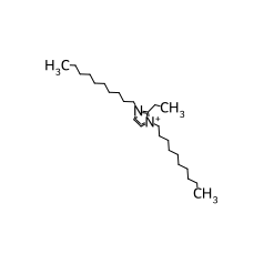 CCCCCCCCCCn1cc[n+](CCCCCCCCCC)c1CC